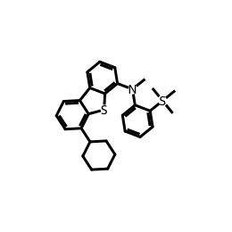 CN(c1ccccc1S(C)(C)C)c1cccc2c1sc1c(C3CCCCC3)cccc12